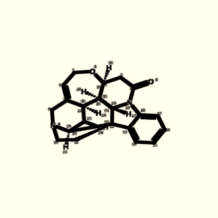 O=C1C[C@@H]2OCC=C3CN4CC[C@]56c7ccccc7N1[C@H]5[C@H]2[C@H]3C(O)[C@H]46